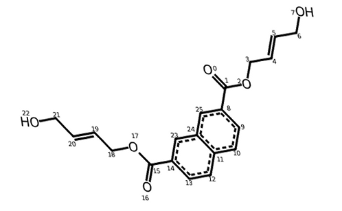 O=C(OCC=CCO)c1ccc2ccc(C(=O)OCC=CCO)cc2c1